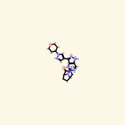 CN1CC2CCC(C1=O)N2c1ncc2[nH]nc(-c3cnn(C4CCOCC4)c3)c2n1